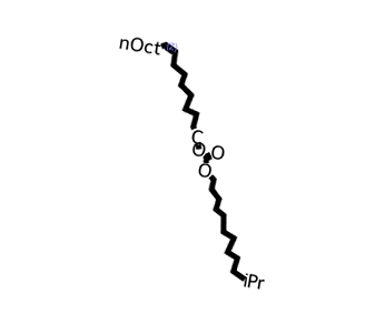 CCCCCCCC/C=C\CCCCCCCCOC(=O)OCCCCCCCCCCC(C)C